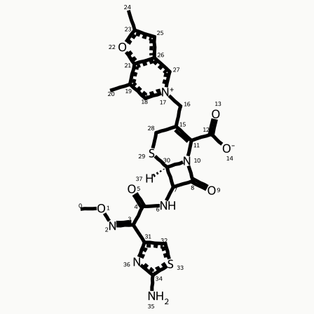 CO/N=C(\C(=O)NC1C(=O)N2C(C(=O)[O-])=C(C[n+]3cc(C)c4oc(C)cc4c3)CS[C@H]12)c1csc(N)n1